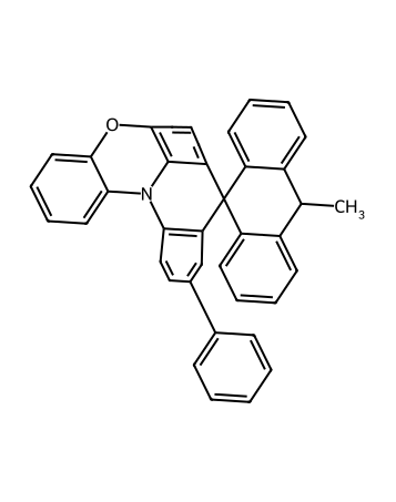 CC1c2ccccc2C2(c3ccccc31)c1cc(-c3ccccc3)ccc1N1c3ccccc3Oc3cccc2c31